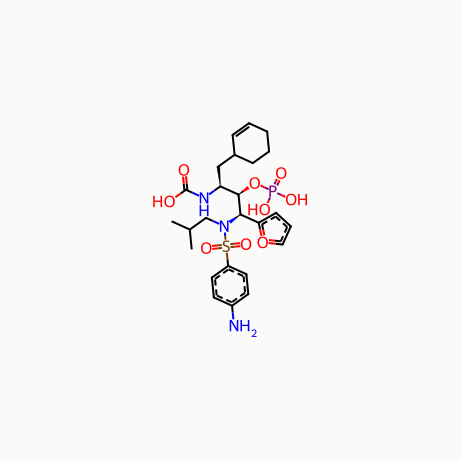 CC(C)CN([C@H](c1ccco1)[C@H](OP(=O)(O)O)[C@H](CC1C=CCCC1)NC(=O)O)S(=O)(=O)c1ccc(N)cc1